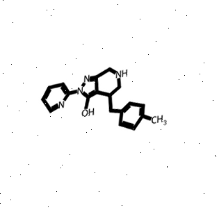 Cc1ccc(CC2CNCc3nn(-c4ccccn4)c(O)c32)cc1